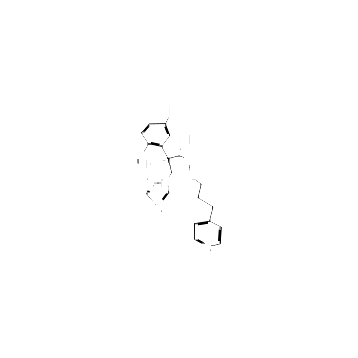 C[C@@H](SSCCCc1ccncc1)[C@](O)(Cn1cncn1)c1cc(F)ccc1F